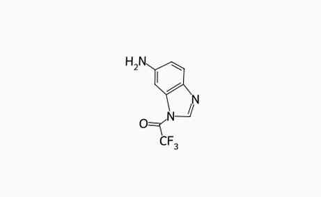 Nc1ccc2ncn(C(=O)C(F)(F)F)c2c1